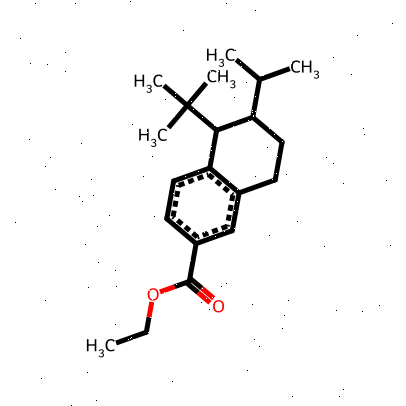 CCOC(=O)c1ccc2c(c1)CCC(C(C)C)C2C(C)(C)C